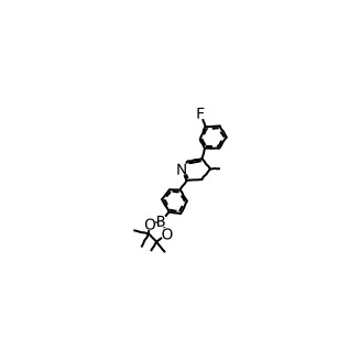 CC1CC(c2ccc(B3OC(C)(C)C(C)(C)O3)cc2)=NC=C1c1cccc(F)c1